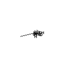 CCCCCCCCCCCCCCS(=O)(=O)NC(CC(C)C)C(=O)N[C@H]1CCOC1O